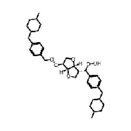 CC1CCC(Cc2ccc(COO[C@H]3CO[C@H]4[C@@H]3OC[C@H]4C(OO)c3ccc(CC4CCC(C)CC4)cc3)cc2)CC1